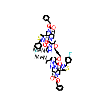 C=C(NC(C(=O)N1CC[C@@H]2[C@H]1[C@@H](c1csc(-c3ccc(F)cc3)n1)CN2C(=O)OCc1ccccc1)C(C)OCC#CCOC(C)C(NC(=O)[C@H](C)NC)C(=O)N1CC[C@@H]2[C@H]1[C@@H](c1csc(-c3ccc(F)cc3)n1)CN2C(=O)OCc1ccccc1)[C@H](C)NC